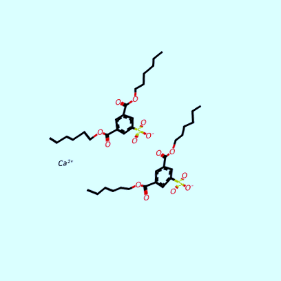 CCCCCCOC(=O)c1cc(C(=O)OCCCCCC)cc(S(=O)(=O)[O-])c1.CCCCCCOC(=O)c1cc(C(=O)OCCCCCC)cc(S(=O)(=O)[O-])c1.[Ca+2]